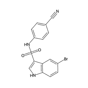 N#Cc1ccc(NS(=O)(=O)c2c[nH]c3ccc(Br)cc23)cc1